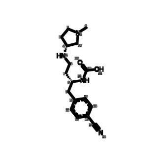 CN1CC[C@@H](NCC[C@@H](Cc2ccc(C#N)cc2)NC(=O)O)C1